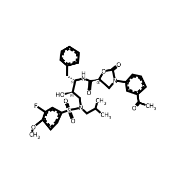 COc1ccc(S(=O)(=O)N(CC(C)C)C[C@@H](O)[C@H](Cc2ccccc2)NC(=O)[C@@H]2CN(c3cccc(C(C)=O)c3)C(=O)O2)cc1F